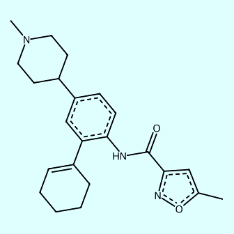 Cc1cc(C(=O)Nc2ccc(C3CCN(C)CC3)cc2C2=CCCCC2)no1